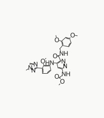 COC(=O)Nc1cc(Nc2cccc(-c3ncn(C)n3)c2OC)c(C(=O)NCc2ccc(OC)cc2OC)nn1